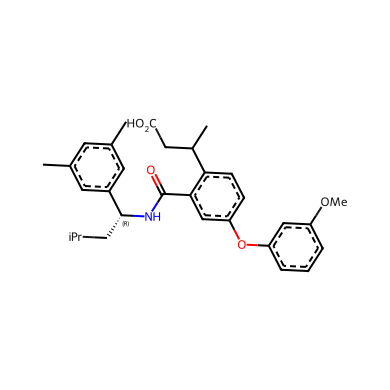 COc1cccc(Oc2ccc(C(C)CC(=O)O)c(C(=O)N[C@H](CC(C)C)c3cc(C)cc(C)c3)c2)c1